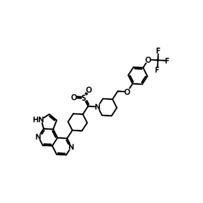 O=S(=O)=C(C1CCC(c2nccc3cnc4[nH]ccc4c23)CC1)N1CCCC(COc2ccc(OC(F)(F)F)cc2)C1